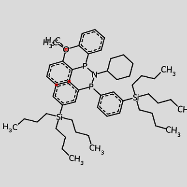 CCCC[Si](CCCC)(CCCC)c1cccc(P(c2cccc([Si](CCCC)(CCCC)CCCC)c2)N(C2CCCCC2)P(c2ccccc2OC)c2ccccc2OC)c1